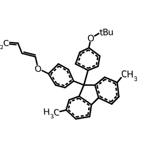 C=CC=COc1ccc(C2(c3ccc(OC(C)(C)C)cc3)c3cc(C)ccc3-c3ccc(C)cc32)cc1